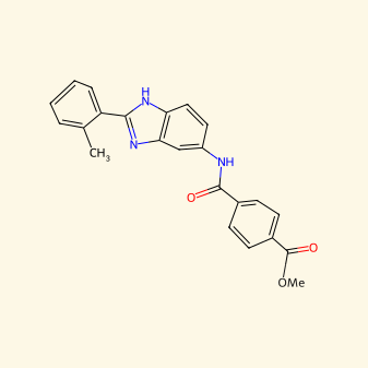 COC(=O)c1ccc(C(=O)Nc2ccc3[nH]c(-c4ccccc4C)nc3c2)cc1